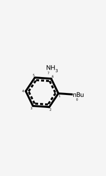 CCCCc1ccccc1.N